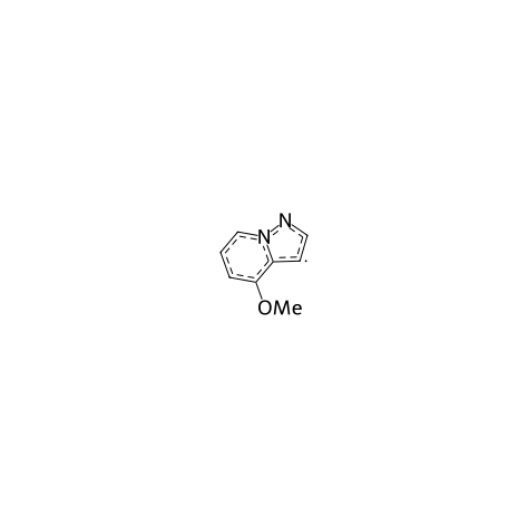 COc1cccn2nc[c]c12